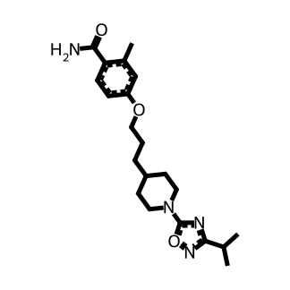 Cc1cc(OCCCC2CCN(c3nc(C(C)C)no3)CC2)ccc1C(N)=O